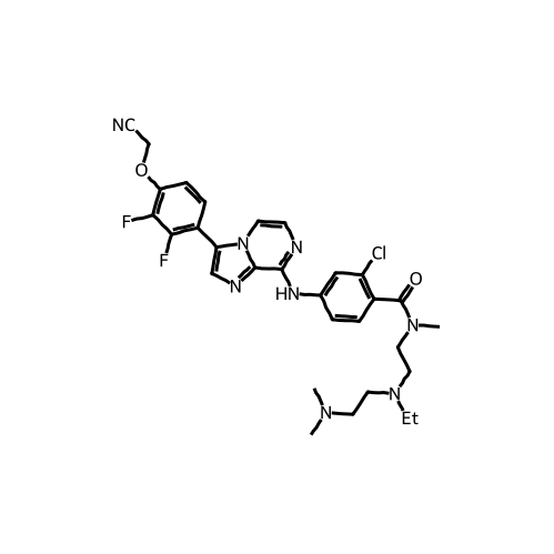 CCN(CCN(C)C)CCN(C)C(=O)c1ccc(Nc2nccn3c(-c4ccc(OCC#N)c(F)c4F)cnc23)cc1Cl